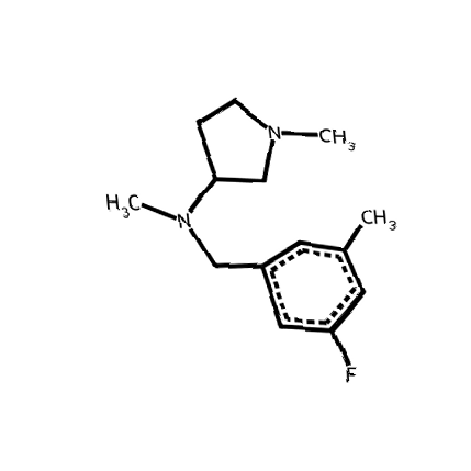 Cc1cc(F)cc(CN(C)C2CCN(C)C2)c1